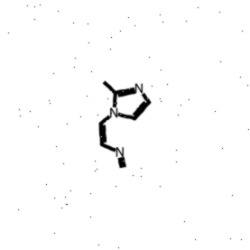 C=N/C=C\n1ccnc1C